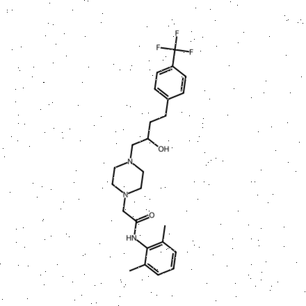 Cc1cccc(C)c1NC(=O)CN1CCN(CC(O)CCc2ccc(C(F)(F)F)cc2)CC1